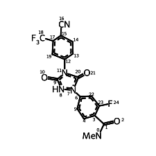 CNC(=O)c1ccc(-n2[nH]c(=O)n(-c3ccc(C#N)c(C(F)(F)F)c3)c2=O)cc1F